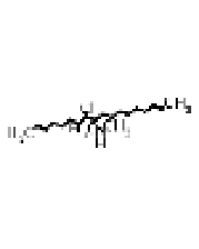 CCCCCCCCCCC(Cl)CCCCCCC.CNC